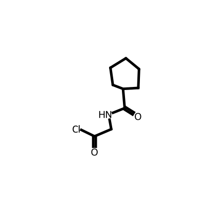 O=C(Cl)CNC(=O)C1CCCCC1